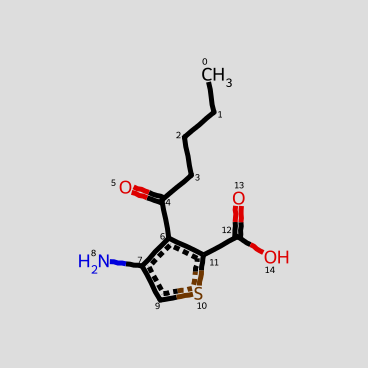 CCCCC(=O)c1c(N)csc1C(=O)O